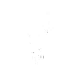 CCCc1cc(-c2noc3cc(OC)ccc23)ccc1Oc1cccc(C[C@@]2(C)OC(=O)NC2=O)c1